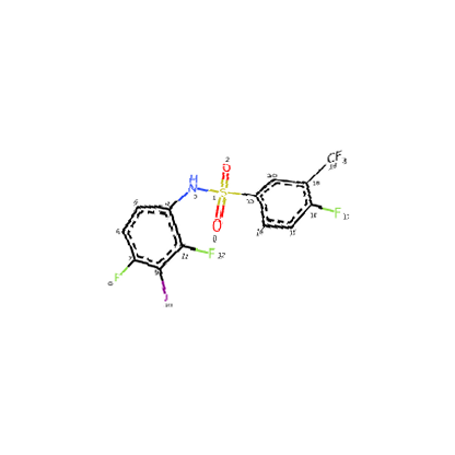 O=S(=O)(Nc1ccc(F)c(I)c1F)c1ccc(F)c(C(F)(F)F)c1